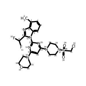 Cc1cccc2c1nc(C(F)F)n2-c1nc(N2CCOCC2)cc(N2CCN(S(=O)(=O)CCl)CC2)n1